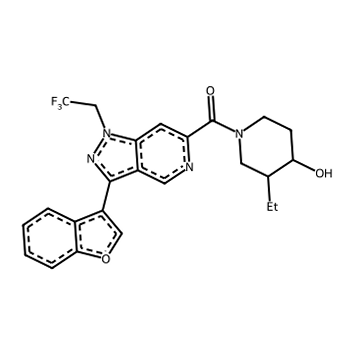 CCC1CN(C(=O)c2cc3c(cn2)c(-c2coc4ccccc24)nn3CC(F)(F)F)CCC1O